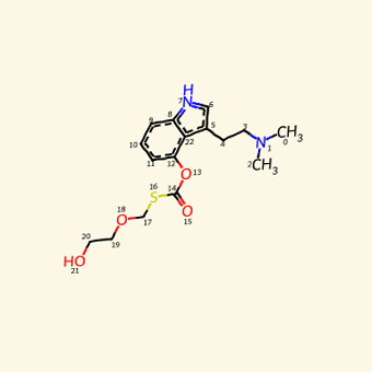 CN(C)CCc1c[nH]c2cccc(OC(=O)SCOCCO)c12